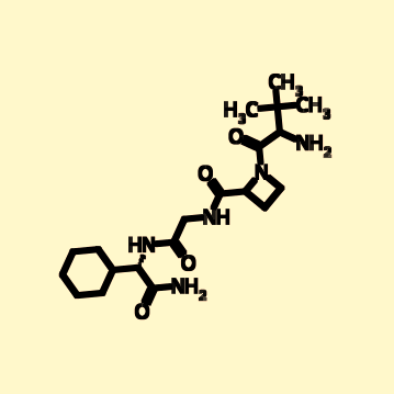 CC(C)(C)C(N)C(=O)N1CCC1C(=O)NCC(=O)N[C@H](C(N)=O)C1CCCCC1